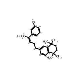 CC1(C)CCC(C)(C)c2cc(CCC=C(C(=O)O)c3cccc(Br)c3)ccc21